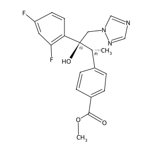 COC(=O)c1ccc([C@@H](C)[C@@](O)(Cn2cncn2)c2ccc(F)cc2F)cc1